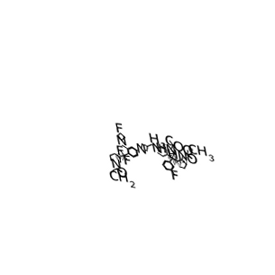 C=CC(=O)N1CCC[C@@H](C(F)(F)c2ccc(N3CC(CN4CCC([C@@](CNC(C)=O)(c5cccc(F)c5)[C@H]5CCC[C@@H]5NC(=O)OC)CC4)C3)cc2CN2CC(F)C2)C1